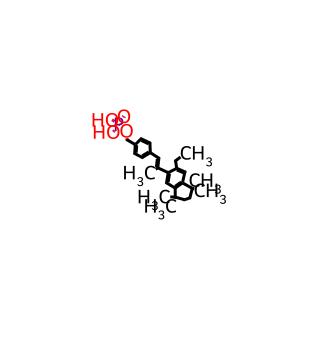 CCc1cc2c(cc1C(C)=Cc1ccc(COP(=O)(O)O)cc1)C(C)(C)CCC2(C)C